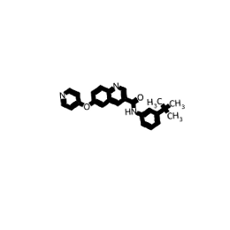 CC(C)(C)c1cccc(NC(=O)c2cnc3ccc(Oc4ccncc4)cc3c2)c1